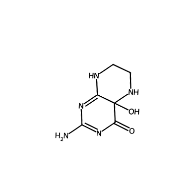 NC1=NC(=O)C2(O)NCCNC2=N1